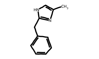 Cc1c[nH]c(Cc2ccccc2)n1